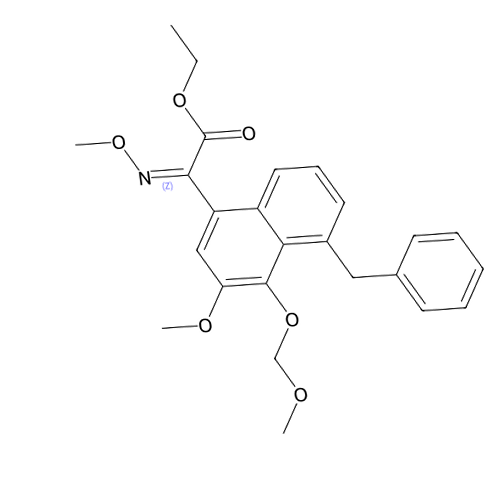 CCOC(=O)/C(=N\OC)c1cc(OC)c(OCOC)c2c(Cc3ccccc3)cccc12